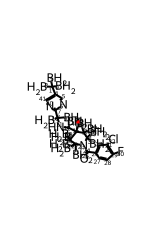 BC(B)(B)c1cnc(C(B)(B)NC(B)(B)C2(F)C(B)(B)C(B)(B)N(C(=O)c3ccc(F)c(Cl)c3)C(B)(B)C2(B)B)nc1